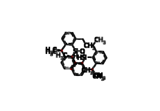 CCc1cccc(CC)c1[SiH](O[SiH](c1c(CC)cccc1CC)c1c(CC)cccc1CC)c1c(CC)cccc1CC